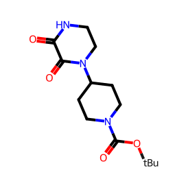 CC(C)(C)OC(=O)N1CCC(N2CCNC(=O)C2=O)CC1